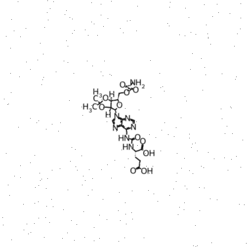 CC1(C)O[C@@H]2[C@H](O1)[C@@H](COS(N)(=O)=O)O[C@H]2n1cnc2c(NC(=O)N[C@@H](CCC(=O)O)C(=O)O)ncnc21